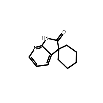 O=C1Nc2ncccc2C12CCCCC2